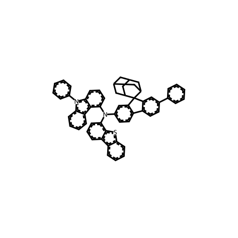 c1ccc(-c2ccc3c(c2)C2(c4cc(N(c5cccc6c5sc5ccccc56)c5cccc6c5c5ccccc5n6-c5ccccc5)ccc4-3)C3CC4CC(C3)CC2C4)cc1